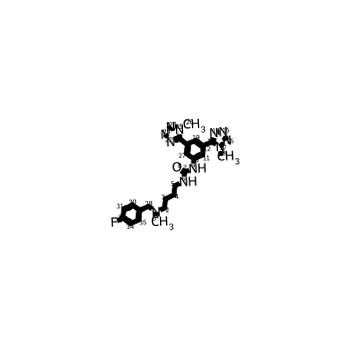 CN(CCCCNC(=O)Nc1cc(-c2nnnn2C)cc(-c2nnnn2C)c1)Cc1ccc(F)cc1